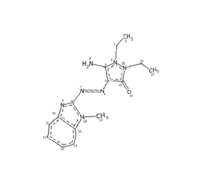 CCn1c(N)c(N=Nc2nc3ccccc3n2C)c(=O)n1CC